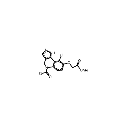 CCC(=O)N1Cc2cn[nH]c2-c2c1ccc(OCC(=O)OC)c2Cl